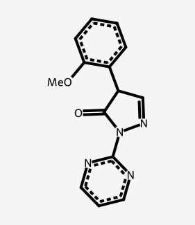 COc1ccccc1C1C=NN(c2ncccn2)C1=O